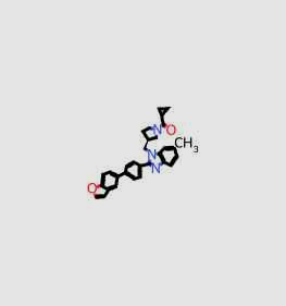 Cc1ccc2nc(-c3ccc(-c4ccc5occc5c4)cc3)n(C[C@H]3CCN(C(=O)C4CC4)C3)c2c1